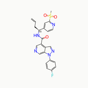 C=CC[C@H](NC(=O)c1cncc2c1cnn2-c1ccc(F)cc1)c1ccnc(S(C)(=O)=O)c1